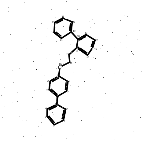 [c]1ccccc1-c1ccc(OCCc2ccccc2-c2ccccc2)cc1